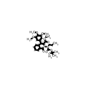 CCCN(C(=O)OC(C)(C)C)n1c(C(=O)OC)c(-c2cc(OC)c(OC)c(OC)c2)c2ccccc2c1=O